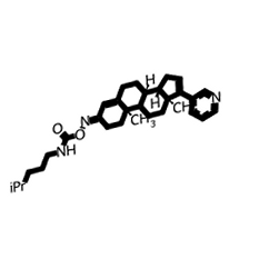 CC(C)CCCNC(=O)O/N=C1/C=C2CC[C@@H]3C(CC[C@]4(C)C(c5cccnc5)=CC[C@@H]34)[C@@]2(C)CC1